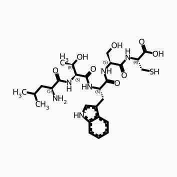 CC(C)C[C@H](N)C(=O)N[C@H](C(=O)N[C@@H](Cc1c[nH]c2ccccc12)C(=O)N[C@@H](CO)C(=O)N[C@@H](CS)C(=O)O)[C@@H](C)O